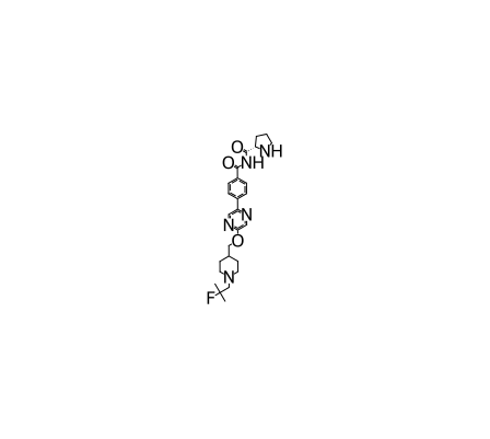 CC(C)(F)CN1CCC(COc2cnc(-c3ccc(C(=O)NC(=O)[C@@H]4CCCN4)cc3)cn2)CC1